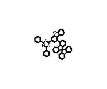 c1ccc(-c2nc(-c3ccccc3)nc(-c3cc(-c4cccc5c4-c4ccccc4C54c5ccccc5-c5ccccc54)c4c(c3)oc3ccccc34)n2)cc1